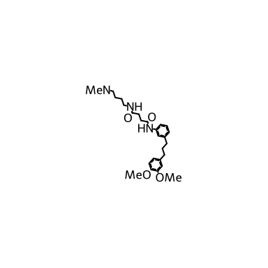 CNCCCCNC(=O)CCC(=O)Nc1cccc(CCCc2ccc(OC)c(OC)c2)c1